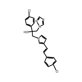 OC(Cn1ccc(C=Cc2ccc(Cl)cc2)c1)(Cn1cncn1)c1ccc(Cl)cc1